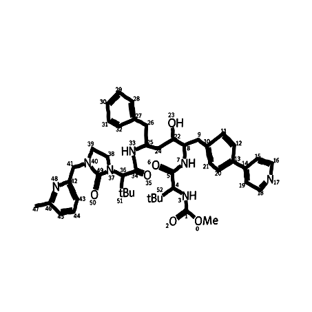 COC(=O)NC(C(=O)NC(Cc1ccc(-c2ccncc2)cc1)C(O)CC(Cc1ccccc1)NC(=O)C(N1CCN(Cc2cccc(C)n2)C1=O)C(C)(C)C)C(C)(C)C